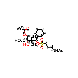 CC(=O)NCCCS(=O)(=O)OC(C1CCCCC1)C(C)(C)[C@@](O)(COC(=O)C(C)C)C(=O)O